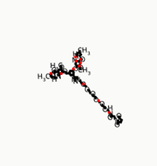 COc1cc2c(cc1OCc1cc(COc3cc4c(cc3OC)C(=O)N3C=C(C)C[C@H]3C=N4)cc(-c3cn(CCOCCOCCOCCOCCOCCOCCNC(=O)CCN4C(=O)C=CC4=O)nn3)c1)N=C[C@@H]1CC(C)=CN1C2=O